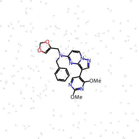 COc1ncc(-c2cnn3ccc(N(CC4=COCO4)Cc4ccccc4)nc23)c(OC)n1